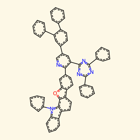 c1ccc(-c2nc(-c3ccccc3)nc(-c3cc(-c4ccc(-c5ccccc5)c(-c5ccccc5)c4)cnc3-c3ccc4c(c3)oc3c4ccc4c5ccccc5n(-c5ccccc5)c43)n2)cc1